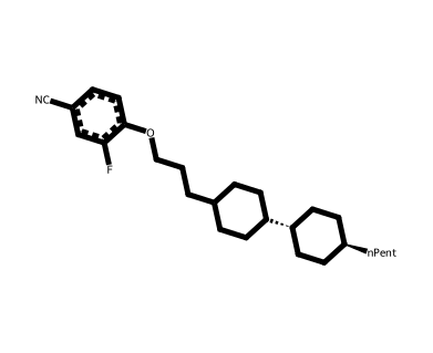 CCCCC[C@H]1CC[C@H](C2CCC(CCCOc3ccc(C#N)cc3F)CC2)CC1